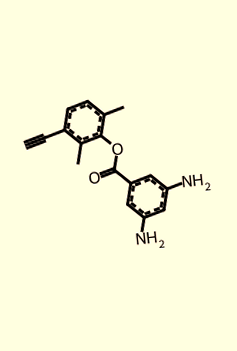 C#Cc1ccc(C)c(OC(=O)c2cc(N)cc(N)c2)c1C